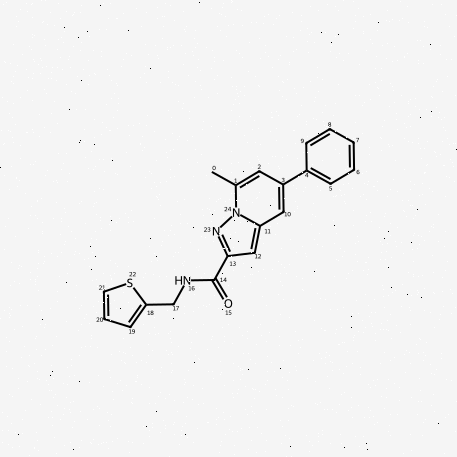 Cc1cc(-c2ccccc2)cc2cc(C(=O)NCc3cccs3)nn12